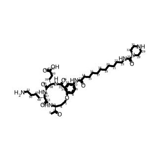 CC(=O)[C@@H]1CCOc2ccc(NC(=O)CCCCCCCCCCNC(=O)N3CCNCC3)cc2C(=O)N[C@@H](CCC(=O)O)C(=O)N[C@@H](CCCCN)C(=O)N1